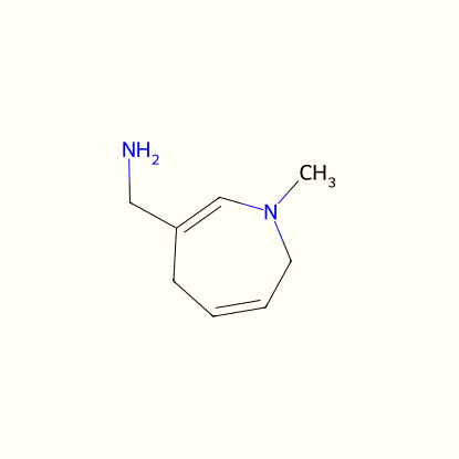 CN1C=C(CN)CC=CC1